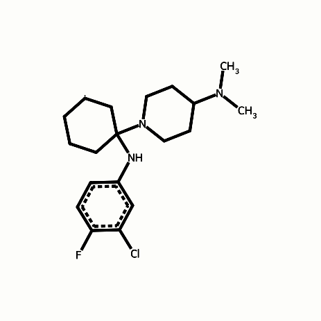 CN(C)C1CCN(C2(Nc3ccc(F)c(Cl)c3)C[CH]CCC2)CC1